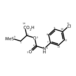 CSCC(OC(=O)Nc1ccc(Cl)cc1)C(=O)O